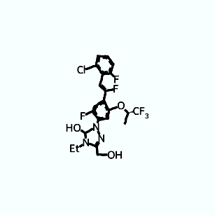 CCN1C(CO)=NN(c2cc(O[C@@H](C)C(F)(F)F)c(/C(F)=C/c3c(F)cccc3Cl)cc2F)C1O